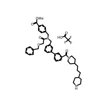 COC(=O)c1ccc(CN(Cc2cccc(-c3cccc(C(=O)N4CCC(CCCC5CCNCC5)CC4)c3)c2)C(=O)COCc2ccccc2)cc1.O=C(O)C(F)(F)F